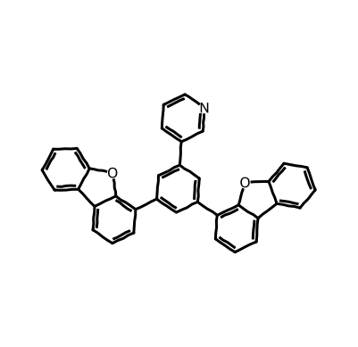 c1cncc(-c2cc(-c3cccc4c3oc3ccccc34)cc(-c3cccc4c3oc3ccccc34)c2)c1